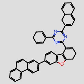 C1=CC2=CC=C(c3nc(C4=CCCC=C4)nc(C4=CCCc5oc6cc(-c7ccc8c(ccc9ccccc98)c7)ccc6c54)n3)CC2C=C1